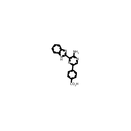 Nc1ncc(-c2ccc(C(=O)O)cc2)nc1-c1nc2ccccc2[nH]1